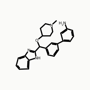 CN1CCC(OC(c2cccc(-c3cccc(N)c3)c2)c2nc3ccccc3[nH]2)CC1